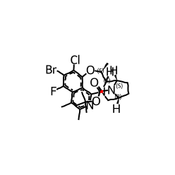 Cc1nc2c3c(c(Cl)c(Br)c(F)c3c1C)O[C@@H](C)[C@@H]1[C@@H]3CC[C@H](CN21)N3C(=O)OC(C)(C)C